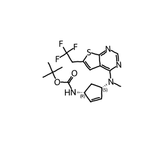 CN(c1ncnc2sc(CC(F)(F)F)cc12)[C@@H]1C=C[C@H](NC(=O)OC(C)(C)C)C1